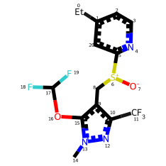 CCc1ccnc([S+]([O-])Cc2c(C(F)(F)F)nn(C)c2OC(F)F)c1